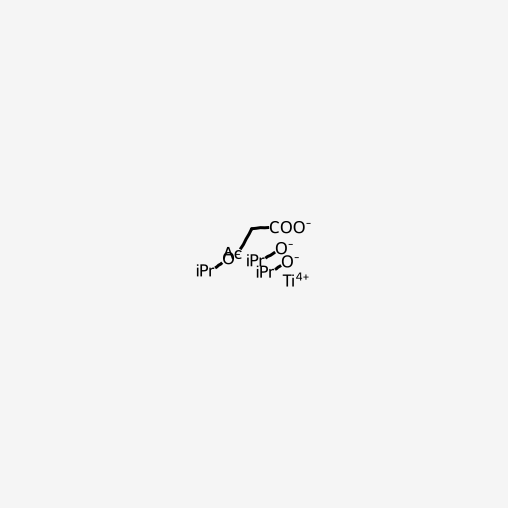 CC(=O)CC(=O)[O-].CC(C)[O-].CC(C)[O-].CC(C)[O-].[Ti+4]